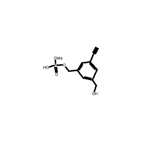 C#Cc1cc(CO)cc(COP(=O)(O)OC)c1